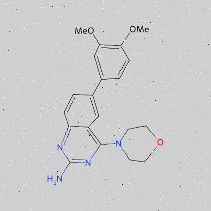 COc1ccc(-c2ccc3nc(N)nc(N4CCOCC4)c3c2)cc1OC